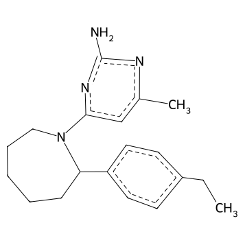 CCc1ccc(C2CCCCCN2c2cc(C)nc(N)n2)cc1